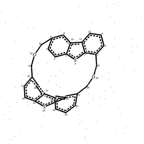 c1cc2c3sc4ccc(cc4c3c1)COCc1ccc3sc4c(cccc4c3c1)COC2